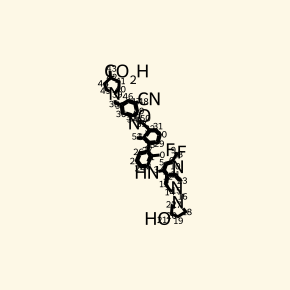 Cc1c(Nc2cc(C(F)F)nc3c2=CCN(CN2CCC(O)C2)C=3)cccc1-c1cccc(-c2nc3cc(CN4CCC(C(=O)O)CC4)cc(C#N)c3o2)c1C